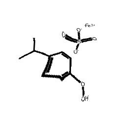 CC(C)c1ccc(OO)cc1.O=S(=O)([O-])[O-].[Fe+2]